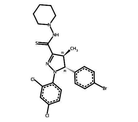 C[C@@H]1C(C(=S)NN2CCCCC2)=NN(c2ccc(Cl)cc2Cl)[C@H]1c1ccc(Br)cc1